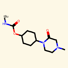 CN1CCN(C2CCC(OC(=O)NC(C)(C)C)CC2)C(=O)C1